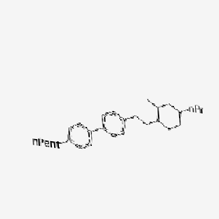 CCCCCc1ccc(-c2ccc(CCC3CCC(CCC)CC3C)cc2)cc1